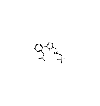 CN(C)Cc1ccccc1-c1ccc(CNSC(C)(C)C)s1